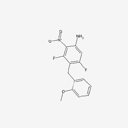 COc1ccccc1Cc1c(F)cc(N)c([N+](=O)[O-])c1F